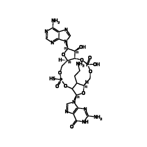 NCCC1C2OP(=O)(S)OC[C@H]3O[C@@H](n4cnc5c(N)ncnc54)[C@@H](O)C3OP(=O)(O)OC[C@H]1O[C@H]2n1cnc2c(=O)[nH]c(N)nc21